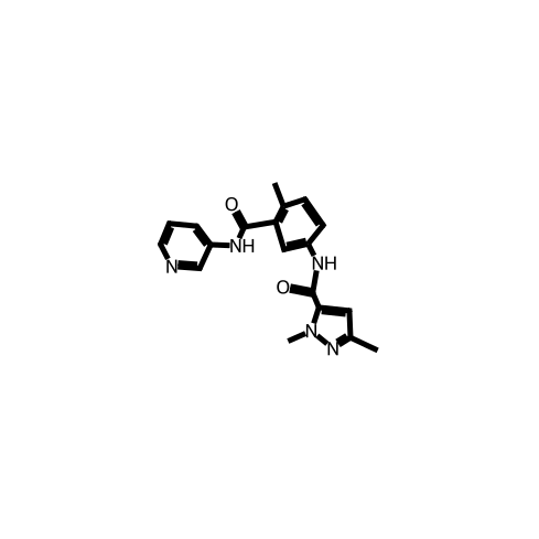 Cc1cc(C(=O)Nc2ccc(C)c(C(=O)Nc3cccnc3)c2)n(C)n1